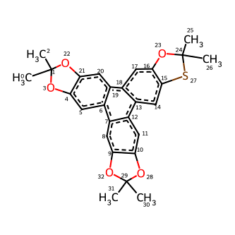 CC1(C)Oc2cc3c4cc5c(cc4c4cc6c(cc4c3cc2O1)OC(C)(C)S6)OC(C)(C)O5